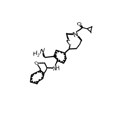 NCc1cc(C2CCN(C(=O)C3CC3)CC2)ccc1NC1COc2ccccc21